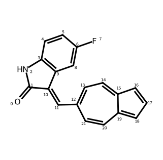 O=C1Nc2ccc(F)cc2/C1=C\c1ccc2cccc-2cc1